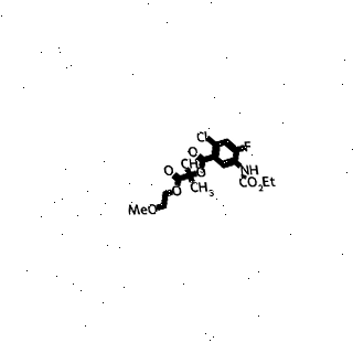 CCOC(=O)Nc1cc(C(=O)OC(C)(C)C(=O)OCCOC)c(Cl)cc1F